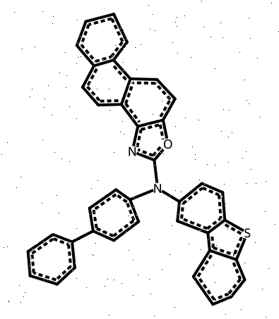 c1ccc(-c2ccc(N(c3ccc4sc5ccccc5c4c3)c3nc4c(ccc5c6ccccc6ccc54)o3)cc2)cc1